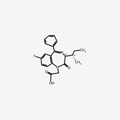 CC[C@H](C)[C@@H]1N=C(c2ccccc2)c2cc(F)ccc2N(CC(=O)O)C1=O